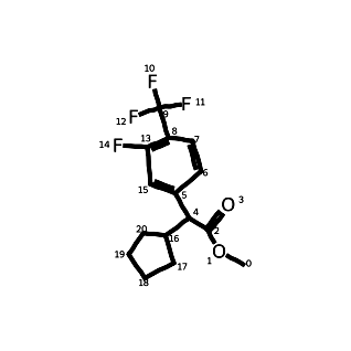 COC(=O)C(c1ccc(C(F)(F)F)c(F)c1)C1CCCC1